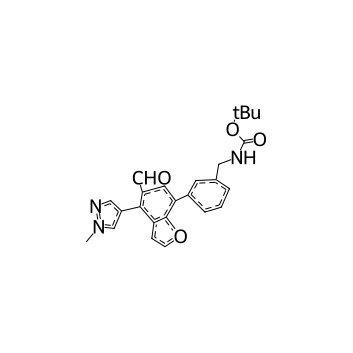 Cn1cc(-c2c(C=O)cc(-c3cccc(CNC(=O)OC(C)(C)C)c3)c3occc23)cn1